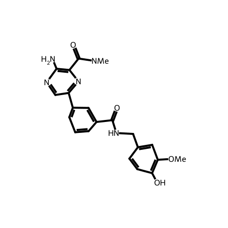 CNC(=O)c1nc(-c2cccc(C(=O)NCc3ccc(O)c(OC)c3)c2)cnc1N